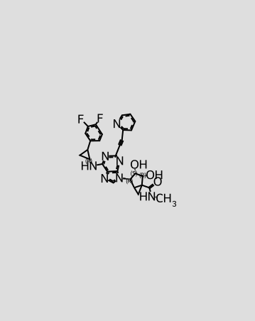 CNC(=O)C12CC1[C@@H](n1cnc3c(N[C@@H]4CC4c4ccc(F)c(F)c4)nc(C#Cc4ccccn4)nc31)[C@H](O)[C@@H]2O